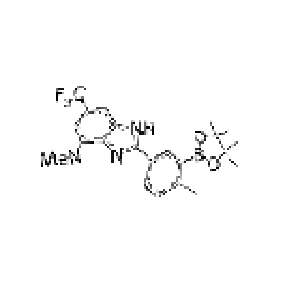 CNc1cc(C(F)(F)F)cc2[nH]c(-c3ccc(C)c(B4OC(C)(C)C(C)(C)O4)c3)nc12